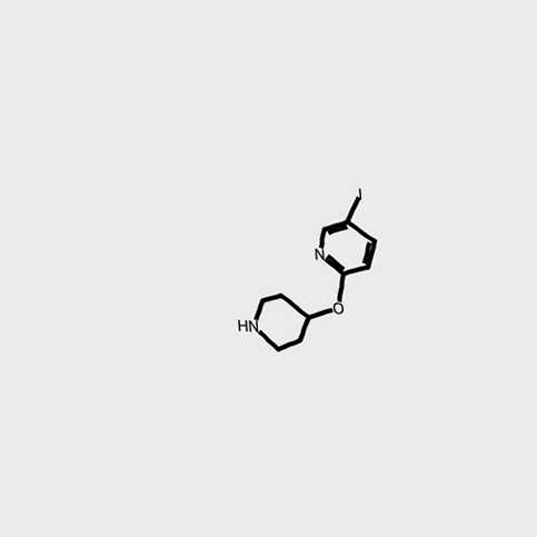 Ic1ccc(OC2CCNCC2)nc1